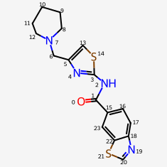 O=C(Nc1nc(CN2CCCCC2)cs1)c1ccc2ncsc2c1